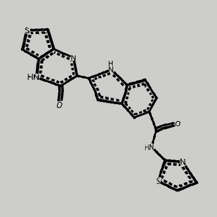 O=C(Nc1nccs1)c1ccc2[nH]c(-c3nc4cscc4[nH]c3=O)cc2c1